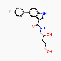 O=C(NCC(O)CCCO)c1c[nH]c2ccc(-c3ccc(F)cc3)cc12